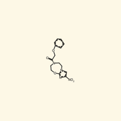 O=C(COc1ccccc1)N1CCOc2nc([N+](=O)[O-])cn2CC1